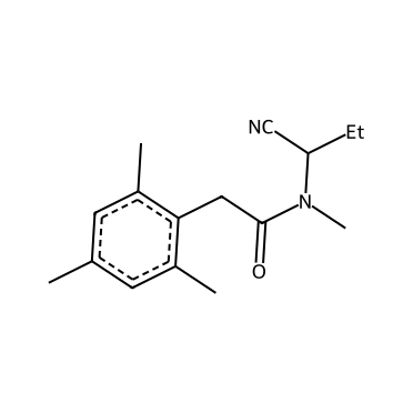 CCC(C#N)N(C)C(=O)Cc1c(C)cc(C)cc1C